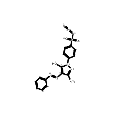 Cc1nn(-c2ccc(S(=O)(=O)N=[N+]=[N-])cc2)c(O)c1N=Nc1ccccc1